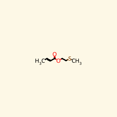 C/C=C/C(=O)OCCSC